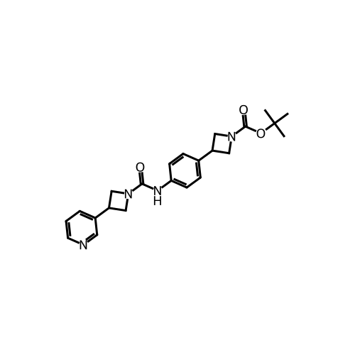 CC(C)(C)OC(=O)N1CC(c2ccc(NC(=O)N3CC(c4cccnc4)C3)cc2)C1